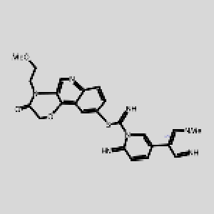 CN/C=C(\C=N)c1ccc(=N)n(C(=N)Sc2ccc3ncc4c(c3c2)OCC(=O)N4CCOC)c1